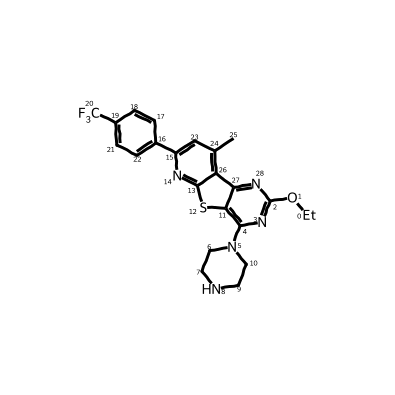 CCOc1nc(N2CCNCC2)c2sc3nc(-c4ccc(C(F)(F)F)cc4)cc(C)c3c2n1